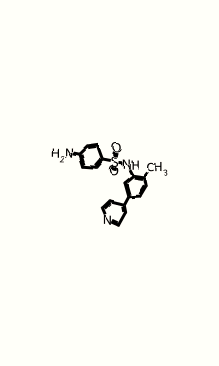 Cc1ccc(-c2ccncc2)cc1NS(=O)(=O)c1ccc(N)cc1